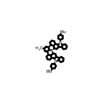 Cc1cc2c3c(c1)-c1cccc4c1c(cc1c5ccccc5n(-c5ccc(C(C)(C)C)cc5)c41)B3c1cc3c4ccccc4n(-c4ccc(C(C)(C)C)cc4)c3c3cccc-2c13